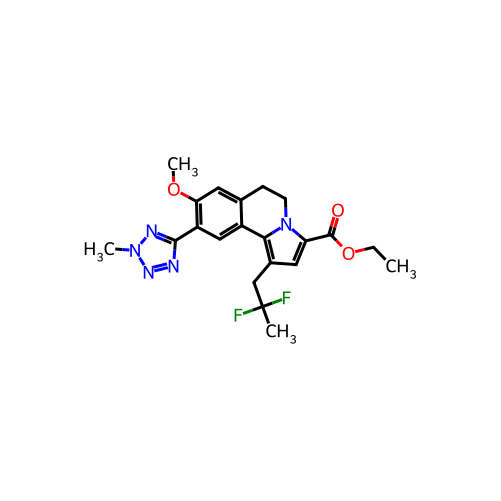 CCOC(=O)c1cc(CC(C)(F)F)c2n1CCc1cc(OC)c(-c3nnn(C)n3)cc1-2